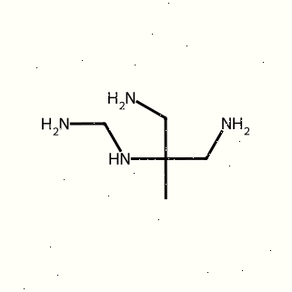 CC(CN)(CN)NCN